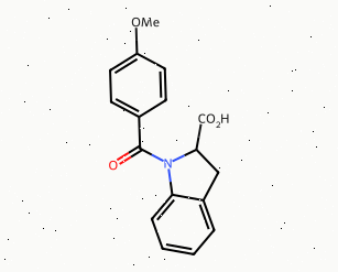 COc1ccc(C(=O)N2c3ccccc3CC2C(=O)O)cc1